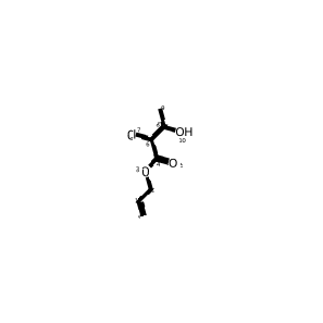 C=CCOC(=O)C(Cl)C(C)O